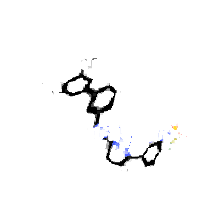 O=S(=O)(Cl)Nc1cccc(C2CC[C@@H](CNCc3cccc(-c4cc(C(F)(F)F)cc(C(F)(F)F)c4)c3)N2)c1